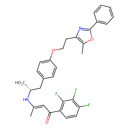 C/C(=C\C(=O)c1ccc(F)c(F)c1F)N[C@@H](Cc1ccc(OCCc2nc(-c3ccccc3)oc2C)cc1)C(=O)O